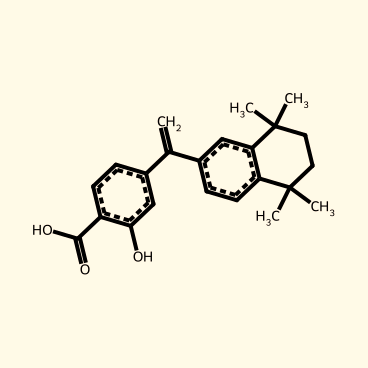 C=C(c1ccc(C(=O)O)c(O)c1)c1ccc2c(c1)C(C)(C)CCC2(C)C